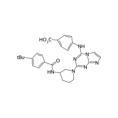 CC(C)(C)c1ccc(C(=O)NC2CCCN(c3nc(Nc4ccc(C(=O)O)cc4)n4ccnc4n3)C2)cc1